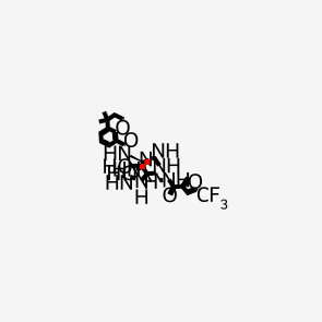 CC1(C)CCOc2c(C(=O)N[C@H]3CN4C(=N)N[C@@H](CNC(=O)c5coc(C(F)(F)F)c5)[C@@H]5NC(=N)N[C@@]54C3(O)O)cccc21